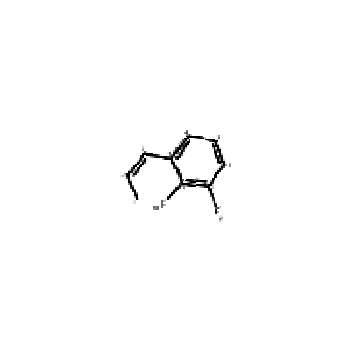 C/C=C\c1cccc(F)c1F